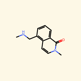 CNCc1cccc2c(=O)n(C)ccc12